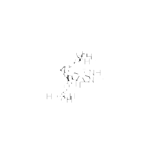 CS(C)(C)CCOCn1ccnc1-c1nn(COCCS(C)(C)C)c2c(F)c(-c3c(F)cnc(N)c3F)ccc12